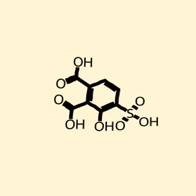 O=C(O)c1ccc(S(=O)(=O)O)c(O)c1C(=O)O